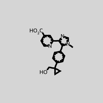 Cn1cnc(-c2cc(C(=O)O)ccn2)c1-c1ccc(C2(CO)CC2)cc1